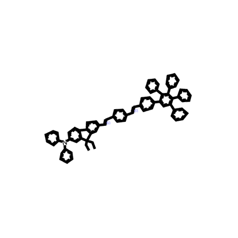 CCC1(CC)c2cc(/C=C/c3ccc(/C=C/c4ccc(-c5cc(-c6ccccc6)c(-c6ccccc6)c(-c6ccccc6)c5-c5ccccc5)cc4)cc3)ccc2-c2ccc(N(c3ccccc3)c3ccccc3)cc21